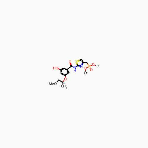 CCOP(=O)(Cc1csc(NC(=O)c2cc(O)cc(O[C@@H](C)COC)c2)n1)OCC